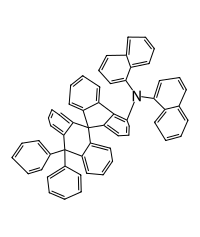 c1ccc(C2(c3ccccc3)c3ccccc3C3(c4ccccc4-c4c(N(c5cccc6ccccc56)c5cccc6ccccc56)cccc43)c3ccccc32)cc1